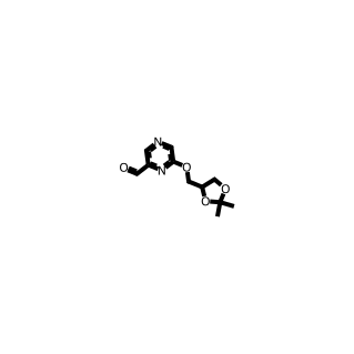 CC1(C)OCC(COc2cncc(C=O)n2)O1